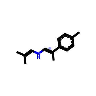 CC(C)=CN/C=C(\C)c1ccc(C)cc1